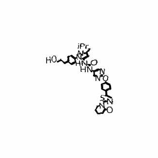 CC(C)Cc1cc(NC(=O)Nc2cnc(Oc3ccc(-c4cnc(N5CCCCC5=O)s4)cc3)nc2)n(-c2ccc(CCCO)cc2)n1